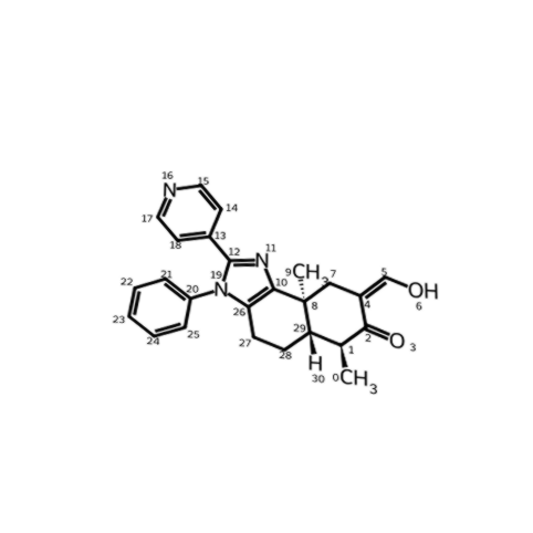 C[C@@H]1C(=O)/C(=C\O)C[C@]2(C)c3nc(-c4ccncc4)n(-c4ccccc4)c3CC[C@@H]12